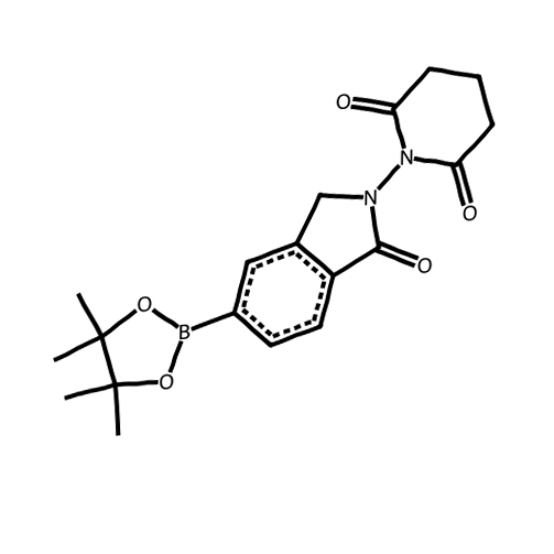 CC1(C)OB(c2ccc3c(c2)CN(N2C(=O)CCCC2=O)C3=O)OC1(C)C